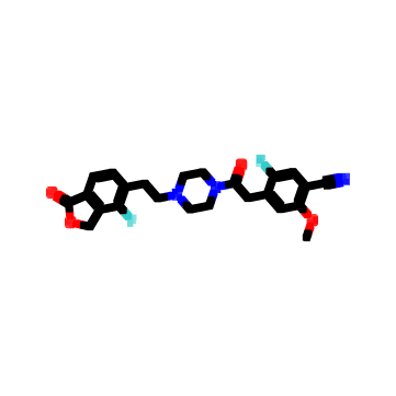 COc1cc(CC(=O)N2CCN(CCc3ccc4c(c3F)COC4=O)CC2)c(F)cc1C#N